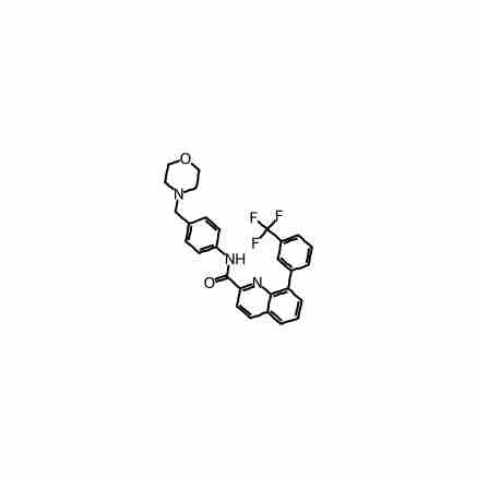 O=C(Nc1ccc(CN2CCOCC2)cc1)c1ccc2cccc(-c3cccc(C(F)(F)F)c3)c2n1